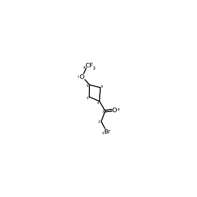 O=C(CBr)C1CC(OC(F)(F)F)C1